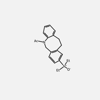 CC[N+]([O-])(CC)c1ccc2c(c1)CCc1ccccc1N(C(C)=O)C2